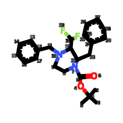 CC(C)(C)OC(=O)N1CCN(Cc2ccccc2)C(C(F)F)C1Cc1ccccc1